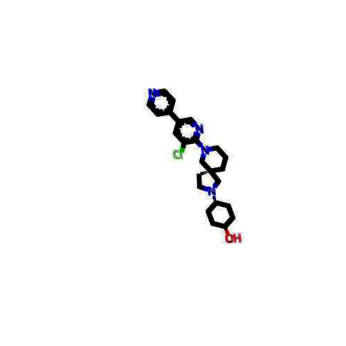 O[C@H]1CC[C@H](N2CC[C@]3(CCCN(c4ncc(-c5ccncc5)cc4Cl)C3)C2)CC1